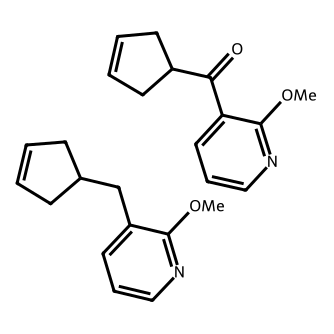 COc1ncccc1C(=O)C1CC=CC1.COc1ncccc1CC1CC=CC1